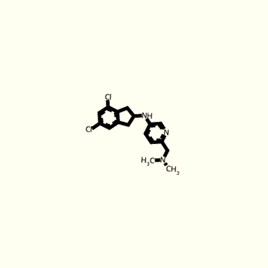 CN(C)Cc1ccc(NC2Cc3cc(Cl)cc(Cl)c3C2)cn1